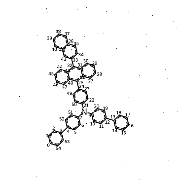 c1ccc(-c2ccc(N(c3ccc(-c4ccccc4)cc3)c3ccc(-c4c5ccccc5c(-c5ccc6ccccc6c5)c5ccccc45)cc3)cc2)cc1